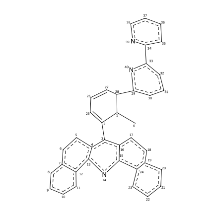 CC1C(c2c3ccc4ccccc4c3nc3c2ccc2ccccc23)=CC=CC1c1cccc(-c2ccccn2)n1